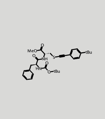 COC(=O)[C@H](CSC#Cc1ccc(C(C)(C)C)cc1)NC(=O)[C@H](Cc1ccccc1)NC(=O)OC(C)(C)C